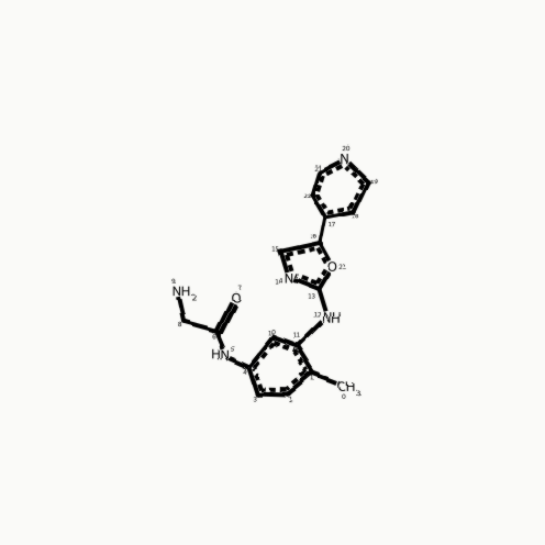 Cc1ccc(NC(=O)CN)cc1Nc1ncc(-c2ccncc2)o1